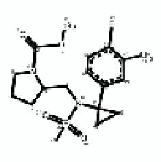 CC(C)(C)OC(=O)N1CCCC1CN(C1(c2ccc(F)c(C(F)(F)F)c2)CC1)S(C)(=O)=O